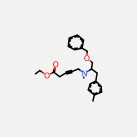 CCOC(=O)CC#CCN(C)C(COCc1ccccc1)Cc1ccc(C)cc1